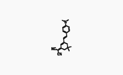 CN(C)c1ccc(C=CC2=CC(=C(C#N)C#N)CC(C)(C)C2)cc1